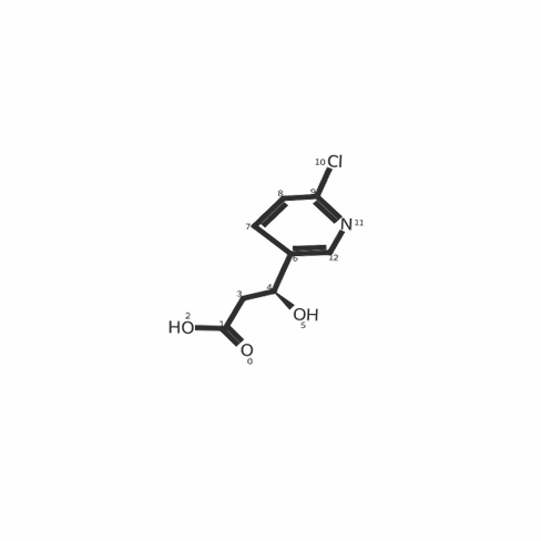 O=C(O)C[C@H](O)c1ccc(Cl)nc1